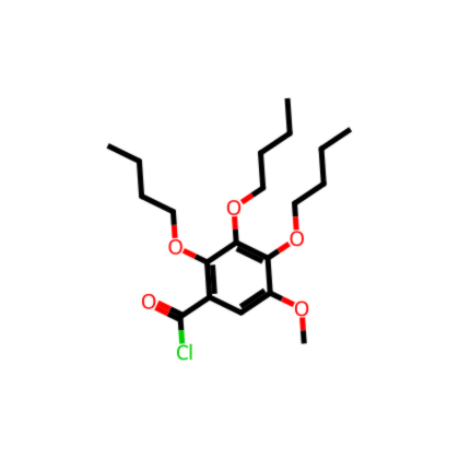 CCCCOc1c(OC)cc(C(=O)Cl)c(OCCCC)c1OCCCC